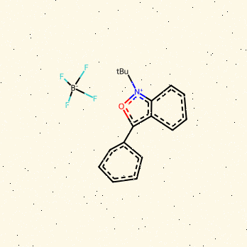 CC(C)(C)[n+]1oc(-c2ccccc2)c2ccccc21.F[B-](F)(F)F